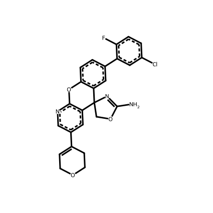 NC1=NC2(CO1)c1cc(-c3cc(Cl)ccc3F)ccc1Oc1ncc(C3=CCOCC3)cc12